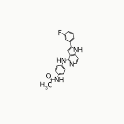 CC(=O)Nc1ccc(Nc2nccc3[nH]c(-c4cccc(F)c4)cc23)cc1